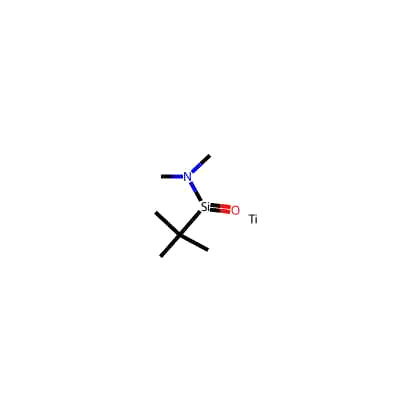 CN(C)[Si](=O)C(C)(C)C.[Ti]